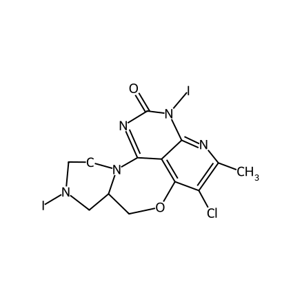 Cc1nc2c3c(nc(=O)n2I)N2CCN(I)CC2COc3c1Cl